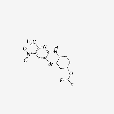 Cc1nc(N[C@H]2CC[C@@H](OC(F)F)CC2)c(Br)cc1[N+](=O)[O-]